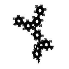 Fc1ccc2oc3c(c2c1)c1cc(F)ccc1n3-c1ccc(-n2c3ccc(-c4ccccc4)cc3c3cc(-c4ccccc4)ccc32)cc1